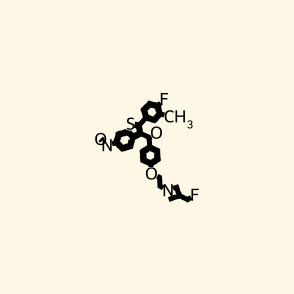 Cc1cc(-c2sc3cc(N=O)ccc3c2C(=O)c2ccc(OCCN3CC(CF)C3)cc2)ccc1F